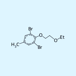 CCOCCOc1c(Br)cc(C)cc1Br